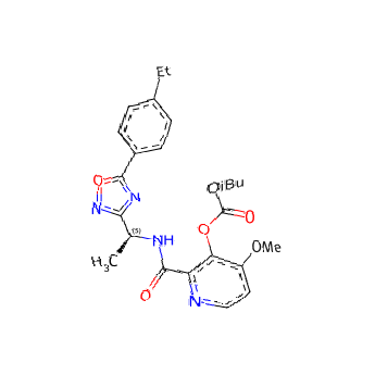 CCc1ccc(-c2nc([C@H](C)NC(=O)c3nccc(OC)c3OC(=O)OCC(C)C)no2)cc1